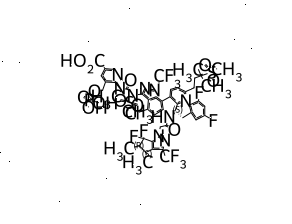 C[C@@H]1c2c(C(F)(F)F)nn(CC(=O)N[C@@H](Cc3cc(F)cc(F)c3)c3nc(CCC(C)(C)S(C)(=O)=O)ccc3-c3ccc(Cl)c4c(N(C(=O)N(C)c5ncc(C(=O)O)cc5COP(=O)(O)O)S(C)(=O)=O)nn(CC(F)(F)F)c34)c2C(F)(F)[C@@H]1C